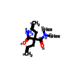 C=CCC(CC=C)(C(N)=O)C(=O)N(CCCCCC)CCCCCC